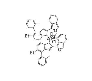 CCc1ccc2c(c1-c1ccccc1C)C=C(c1occ3ccccc13)[CH]2[Zr]([Cl])([Cl])([CH]1C(c2occ3ccccc23)=Cc2c1ccc(CC)c2-c1ccccc1C)=[Si](C)C